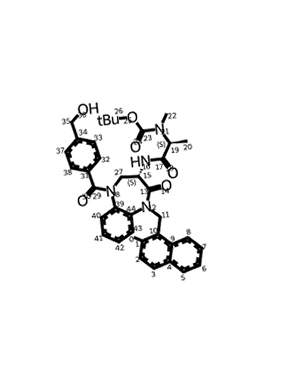 Cc1ccc2ccccc2c1CN1C(=O)[C@@H](NC(=O)[C@H](C)N(C)C(=O)OC(C)(C)C)CN(C(=O)c2ccc(CO)cc2)c2ccccc21